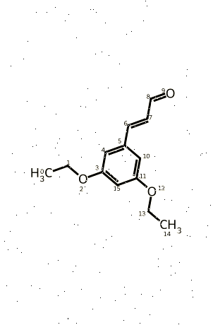 CCOc1cc(/C=C/C=O)cc(OCC)c1